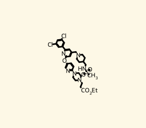 CCOC(=O)CCN1CCN(c2ccc(Oc3cc(CN4CCC(CNS(C)(=O)=O)CC4)cc(-c4cc(Cl)cc(Cl)c4)n3)cn2)CC1